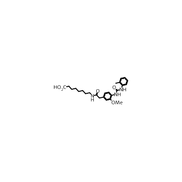 COc1cc(CC(=O)NCCCCCCCC(=O)O)ccc1NC(=O)Nc1ccccc1C